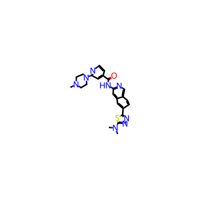 CN1CCN(c2cc(C(=O)Nc3cc4cc(-c5nnc(N(C)C)s5)ccc4cn3)ccn2)CC1